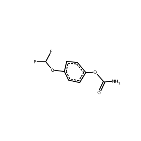 NC(=O)Oc1ccc(OC(F)F)cc1